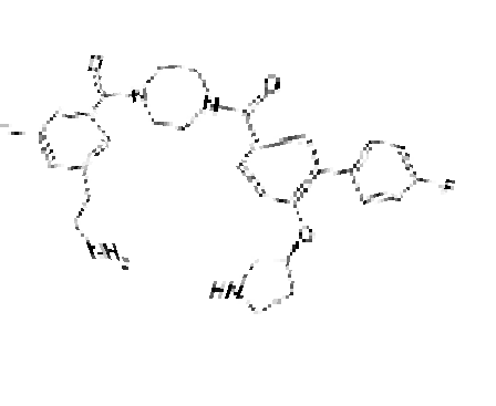 NCCc1cc(F)cc(C(=O)N2CCN(C(=O)c3ccc(O[C@H]4CCNC4)c(-c4ccc(F)cc4)c3)CC2)c1